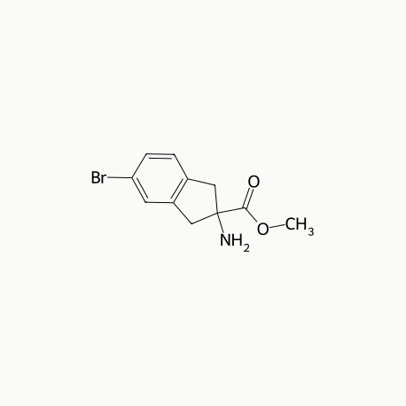 COC(=O)C1(N)Cc2ccc(Br)cc2C1